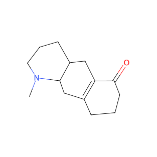 CN1CCCC2CC3=C(CCCC3=O)CC21